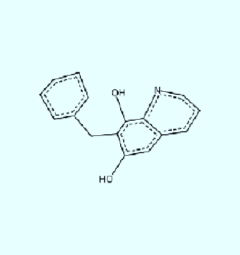 Oc1cc2cccnc2c(O)c1Cc1ccccc1